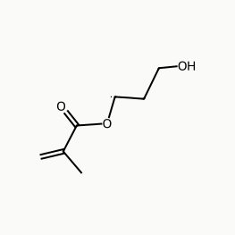 C=C(C)C(=O)O[CH]CCO